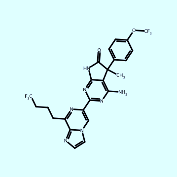 CC1(c2ccc(OC(F)(F)F)cc2)C(=O)Nc2nc(-c3cn4ccnc4c(CCCC(F)(F)F)n3)nc(N)c21